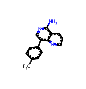 Nc1ncc(-c2ccc(C(F)(F)F)cc2)c2ncccc12